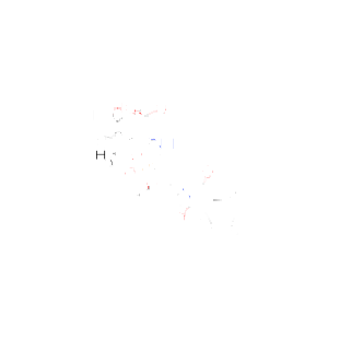 COP(=O)(OC)C(CCN1C(=O)c2ccccc2C1=O)N[C@@H](CC(C)C)C(=O)O